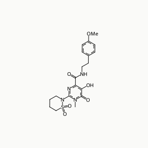 COc1ccc(CCNC(=O)c2nc(N3CCCCS3(=O)=O)n(C)c(=O)c2O)cc1